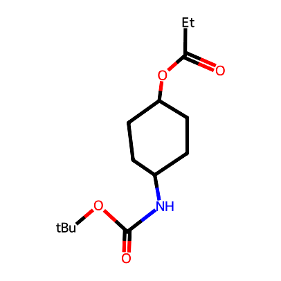 CCC(=O)OC1CCC(NC(=O)OC(C)(C)C)CC1